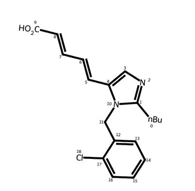 CCCCc1ncc(/C=C/C=C/C(=O)O)n1Cc1ccccc1Cl